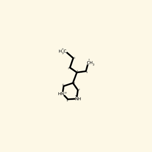 CCCC(CC)C1CNCNC1